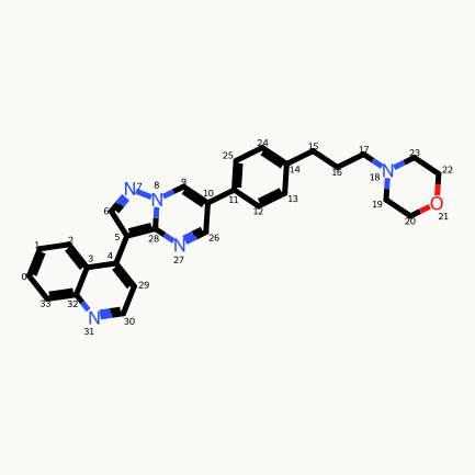 c1ccc2c(-c3cnn4cc(-c5ccc(CCCN6CCOCC6)cc5)cnc34)ccnc2c1